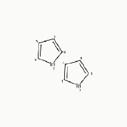 C1=[CH][In][CH]=C1.C1=[CH][In][CH]=C1